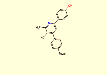 COc1ccc(-c2cc(-c3ccc(O)cc3)nc(C)c2C#N)cc1